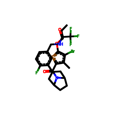 CCCOc1sc(C(=O)N2C3CCC2CC(c2cc(CNC(=O)C(F)(F)F)ccc2F)C3)c(C)c1Br